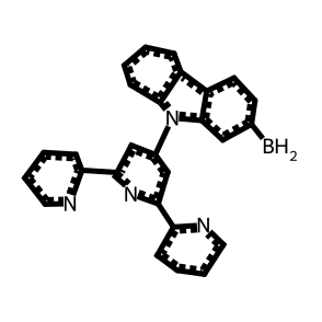 Bc1ccc2c3ccccc3n(-c3cc(-c4ccccn4)nc(-c4ccccn4)c3)c2c1